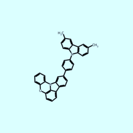 Cc1ccc2c(c1)c1cc(C)ccc1n2-c1ccc(-c2ccc3c4cccc5c4n(c3c2)-c2ccccc2O5)cc1